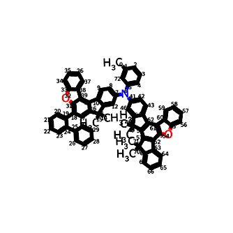 Cc1cccc(N(c2ccc3c(c2)C(C)(C)c2cc(-c4ccccc4-c4ccccc4)c4oc5ccccc5c4c2-3)c2ccc3c(c2)C(C)(C)c2c4c(c5oc6ccccc6c5c2-3)-c2ccccc2C4(C)C)c1